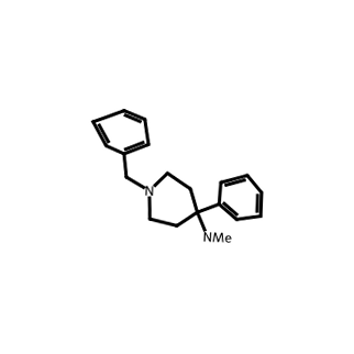 CNC1(c2ccccc2)CCN(Cc2ccccc2)CC1